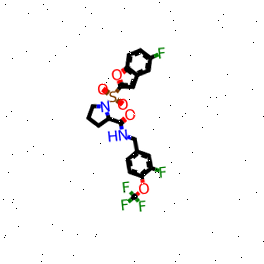 O=C(NCc1ccc(OC(F)(F)F)c(F)c1)C1CCCN1S(=O)(=O)c1cc2cc(F)ccc2o1